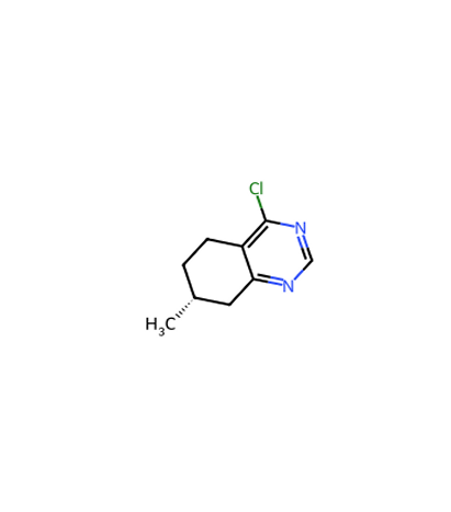 C[C@@H]1CCc2c(Cl)ncnc2C1